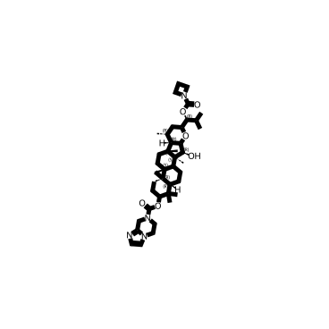 CC(C)[C@@H](OC(=O)N1CCC1)C1C[C@@H](C)[C@H]2C(O1)[C@H](O)[C@@]1(C)C3CC[C@H]4C(C)(C)C(OC(=O)N5CCn6ccnc6C5)CC[C@@]45C[C@@]35CC[C@]21C